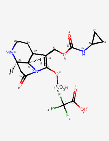 O=C(O)C(F)(F)F.O=C(O)OC1=C(COC(=O)NC2CC2)C2CCN[C@@H]3C(=O)N1[C@H]23